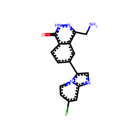 NCc1n[nH]c(=O)c2ccc(-c3cnc4cc(F)ccn34)cc12